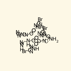 Brc1cnc2[nH]c(-c3ccc(OCCN4CCN(c5cnccn5)CC4)cc3)nc2c1.Brc1cnc2[nH]c(-c3ccc(OCCNCCc4c[nH]cn4)cc3)nc2c1.NC(=O)C1CCCN(CCOc2ccc(-c3nc4cc(Br)cnc4[nH]3)cc2)C1